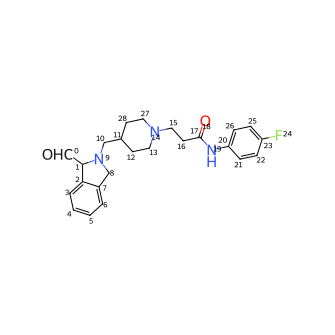 O=CC1c2ccccc2CN1CC1CCN(CCC(=O)Nc2ccc(F)cc2)CC1